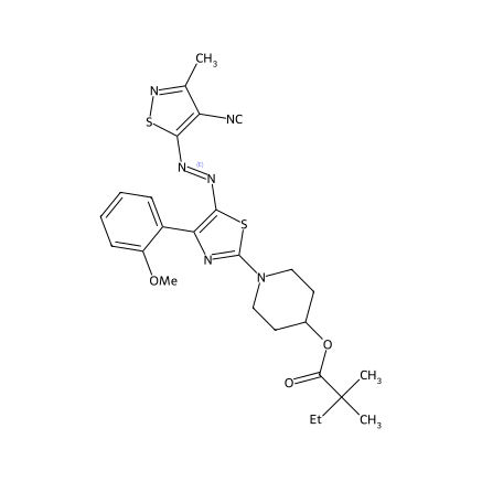 [C-]#[N+]c1c(C)nsc1/N=N/c1sc(N2CCC(OC(=O)C(C)(C)CC)CC2)nc1-c1ccccc1OC